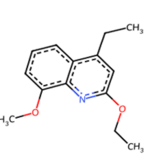 CCOc1cc(CC)c2cccc(OC)c2n1